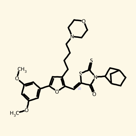 COc1cc(OC)cc(-c2cc(CCCCN3CCOCC3)c(/C=C3\SC(=S)N(C4CC5CCC4C5)C3=O)o2)c1